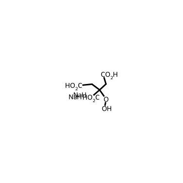 O=C(O)CC(CC(=O)O)(OO)C(=O)O.[NaH].[NaH]